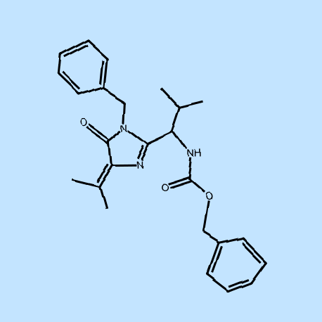 CC(C)=C1N=C(C(NC(=O)OCc2ccccc2)C(C)C)N(Cc2ccccc2)C1=O